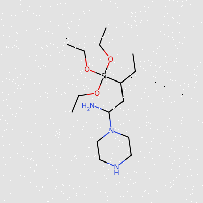 CCO[Si](OCC)(OCC)C(CC)CC(N)N1CCNCC1